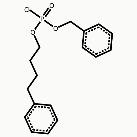 O=P(Cl)(OCCCCc1ccccc1)OCc1ccccc1